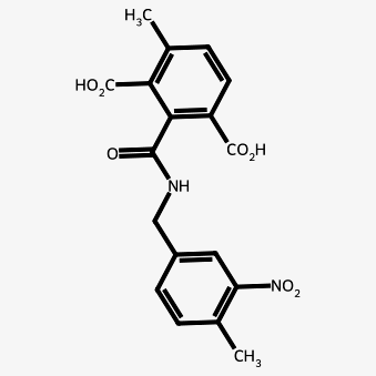 Cc1ccc(CNC(=O)c2c(C(=O)O)ccc(C)c2C(=O)O)cc1[N+](=O)[O-]